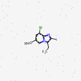 COc1cc(Br)c2nc(I)c(CC(F)(F)F)n2c1